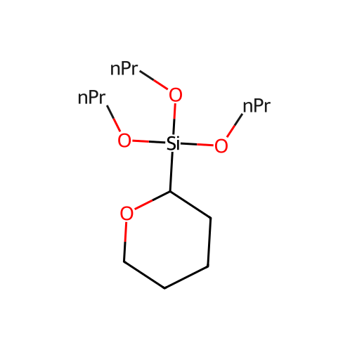 CCCO[Si](OCCC)(OCCC)C1CCCCO1